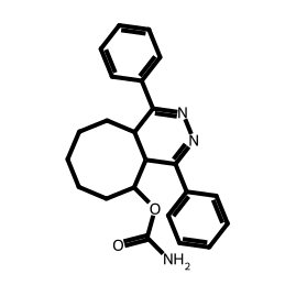 NC(=O)OC1CCCCCC2C(c3ccccc3)=NN=C(c3ccccc3)C12